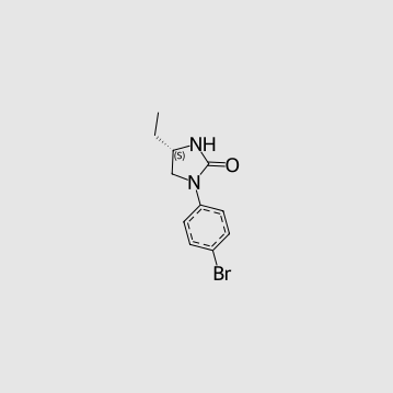 CC[C@H]1CN(c2ccc(Br)cc2)C(=O)N1